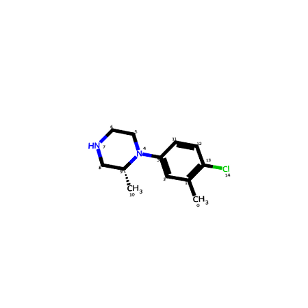 Cc1cc(N2CCNC[C@H]2C)ccc1Cl